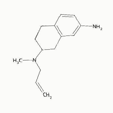 C=CCN(C)C1CCc2ccc(N)cc2C1